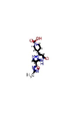 Cc1noc(-c2cnn3c(C4CCN(C(=O)O)CC4)cc(=O)[nH]c23)n1